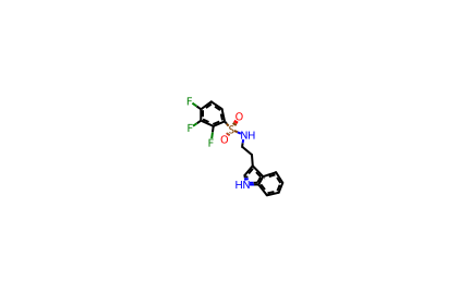 O=S(=O)(NCCc1c[nH]c2ccccc12)c1ccc(F)c(F)c1F